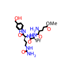 COC(=O)CC[C@H](N)C(=O)N[C@H](C(=O)N[C@@H](CCCNC(N)=O)C(=O)Nc1ccc(CO)cc1)C(C)C